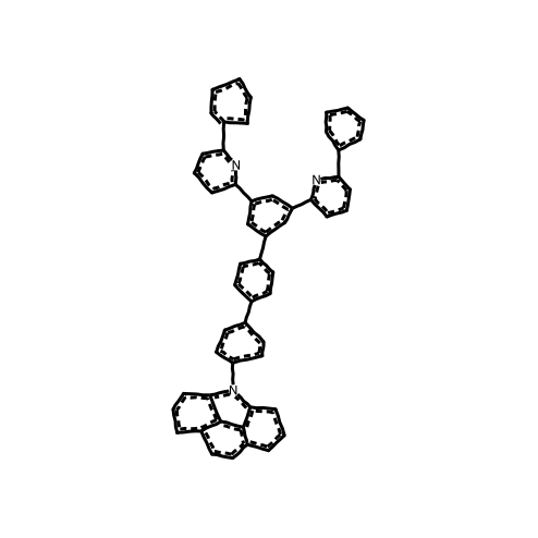 c1ccc(-c2cccc(-c3cc(-c4ccc(-c5ccc(-n6c7cccc8ccc9cccc6c9c87)cc5)cc4)cc(-c4cccc(-c5ccccc5)n4)c3)n2)cc1